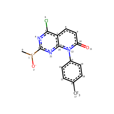 C[S+]([O-])c1nc(Cl)c2ccc(=O)n(-c3ccc(C(F)(F)F)cc3)c2n1